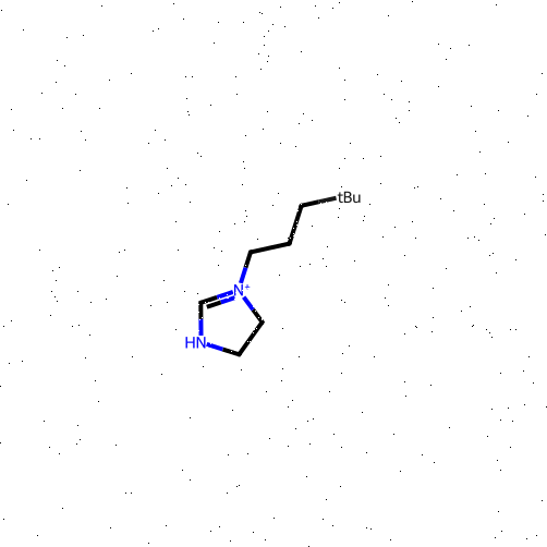 CC(C)(C)CCC[N+]1=CNCC1